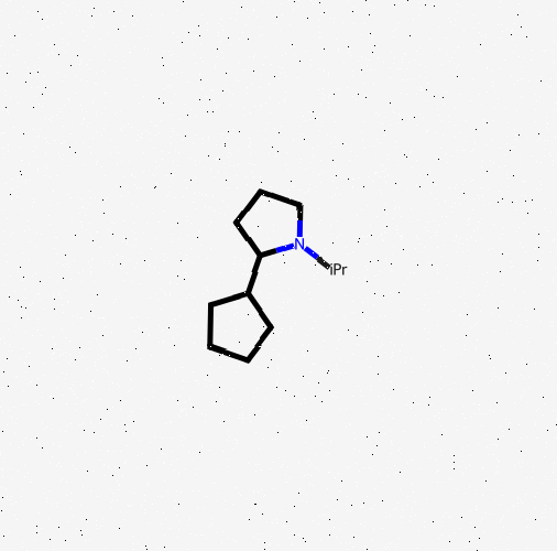 CC(C)N1CCCC1C1CCCC1